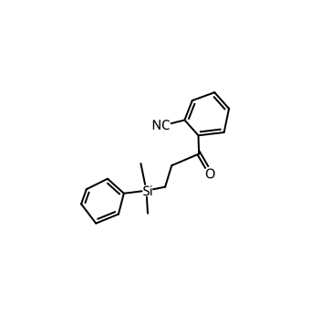 C[Si](C)(CCC(=O)c1ccccc1C#N)c1ccccc1